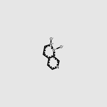 [O-][n+]1ccc2ccncc2[n+]1[O-]